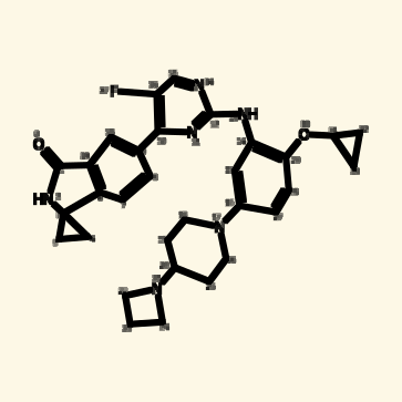 O=C1NC2(CC2)c2ccc(-c3nc(Nc4cc(N5CCC(N6CCC6)CC5)ccc4OC4CC4)ncc3F)cc21